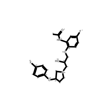 CC(=O)Nc1cc(F)ccc1OCC(O)CN1CCC(Oc2ccc(F)cc2)C1